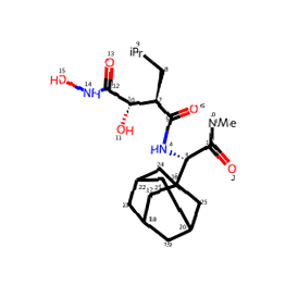 CNC(=O)[C@@H](NC(=O)[C@H](CC(C)C)[C@H](O)C(=O)NO)C12CC3CC(CC(C3)C1)C2